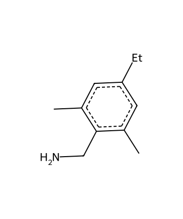 CCc1cc(C)c(CN)c(C)c1